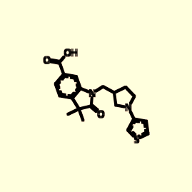 CC1(C)C(=O)N(CC2CCN(c3ccsc3)C2)c2cc(C(=O)O)ccc21